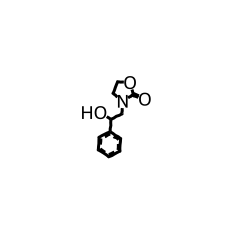 O=C1OCCN1CC(O)c1ccccc1